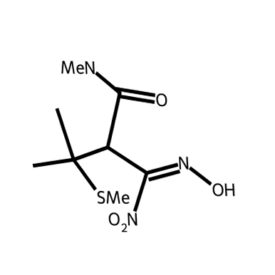 CNC(=O)C(C(=NO)[N+](=O)[O-])C(C)(C)SC